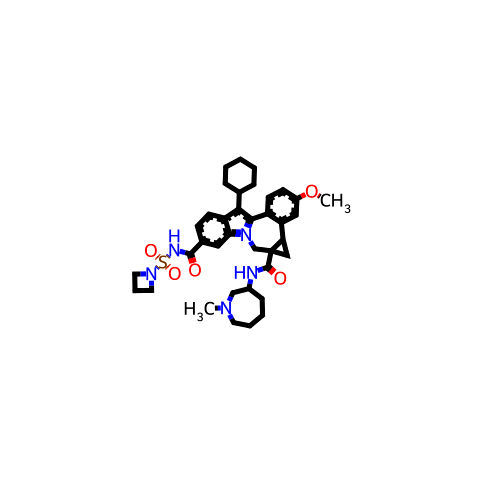 COc1ccc2c(c1)C1CC1(C(=O)NC1CCCCN(C)C1)Cn1c-2c(C2CCCCC2)c2ccc(C(=O)NS(=O)(=O)N3CCC3)cc21